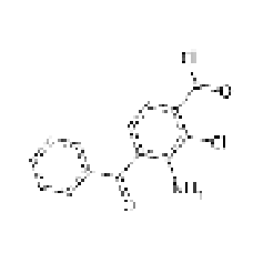 Nc1c(C(=O)c2ccccc2)ccc(C(=O)Cl)c1Cl